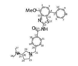 COc1ccc(-c2ccccc2)c2sc(NC(=O)c3ccc(CN4CC[C@@H](N(C)C)C4)cc3)nc12